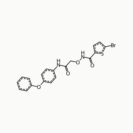 O=C(CONC(=O)c1ccc(Br)s1)Nc1ccc(Oc2ccccc2)cc1